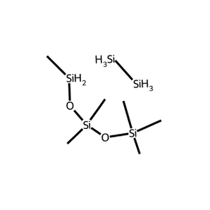 C[SiH2]O[Si](C)(C)O[Si](C)(C)C.[SiH3][SiH3]